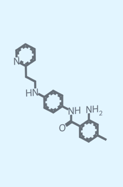 Cc1ccc(C(=O)Nc2ccc(NCCc3ccccn3)cc2)c(N)c1